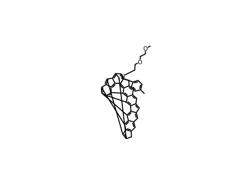 COCCOCCN1CC2C3=c4c5c6c7c(cc8cc9cc%10cc%11cc%12c%13c(c4c4c5c5c7c8c7c9c%10c8c%11c%13c4c8c75)=C(C3)C%12)CC62C1c1ccc(C)cc1